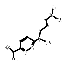 CC(C)c1ccc(N(C)CCCN(C)C)nn1